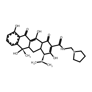 CN(C)[C@@H]1C(O)=C(C(=O)NCN2CCCC2)C(=O)C2C(O)=C3C(=O)c4c(O)cccc4[C@@](C)(O)C3CC21